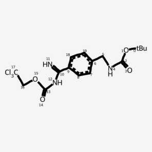 CC(C)(C)OC(=O)NCc1ccc(C(=N)NC(=O)OCC(Cl)(Cl)Cl)cc1